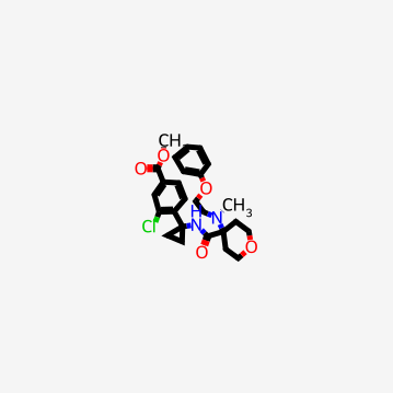 COC(=O)c1ccc(C2(NC(=O)C3(N(C)CCOc4ccccc4)CCOCC3)CC2)c(Cl)c1